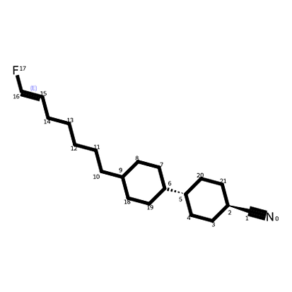 N#C[C@H]1CC[C@H](C2CCC(CCCCC/C=C/F)CC2)CC1